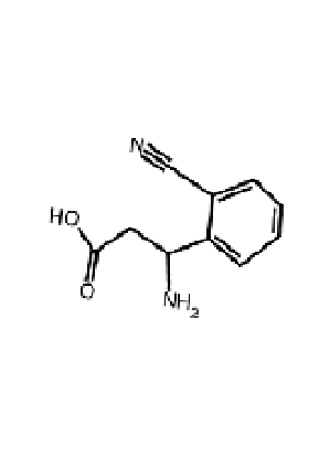 N#Cc1ccccc1C(N)CC(=O)O